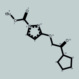 CC(C)(C)OC(=O)n1ccc(OCC(=O)C2CCCC2)n1